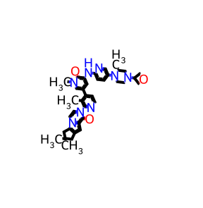 Cc1c(-c2cc(Nc3ccc(N4CCN(C5COC5)C[C@@H]4C)cn3)c(=O)n(C)c2)ccnc1-n1ccn2c3c(cc2c1=O)CC(C)(C)C3